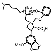 CCCCN(CCCCN(C)C)C(=O)CN1C[C@H](c2cc(OC)c3c(c2)OCO3)[C@@H](C(=O)O)[C@@H]1COc1ccccc1OC